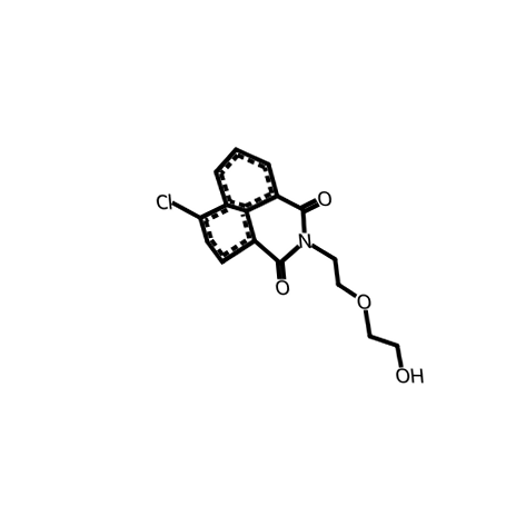 O=C1c2cccc3c(Cl)ccc(c23)C(=O)N1CCOCCO